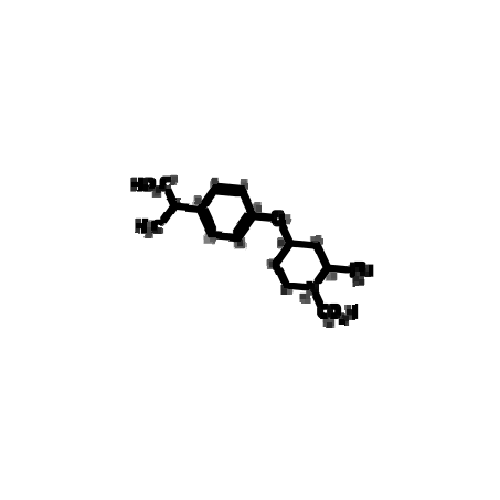 CC(C(=O)O)c1ccc(OC2CCN(C(=O)O)C(C(C)(C)C)C2)cc1